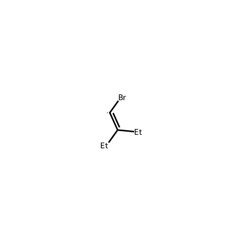 CCC(=[C]Br)CC